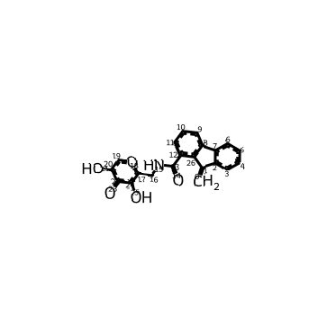 C=C1c2ccccc2-c2cccc(C(=O)NCc3occ(O)c(=O)c3O)c21